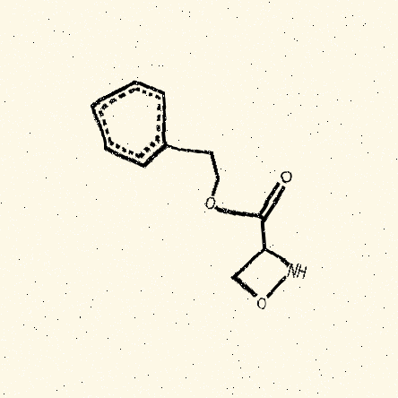 O=C(OCc1ccccc1)C1CON1